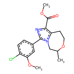 COC(=O)c1nc(-c2ccc(Cl)c(OC)c2)n2c1CCOC(C)C2